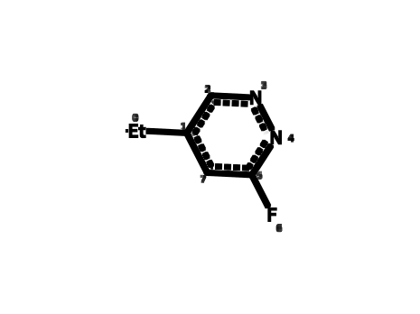 C[CH]c1cnnc(F)c1